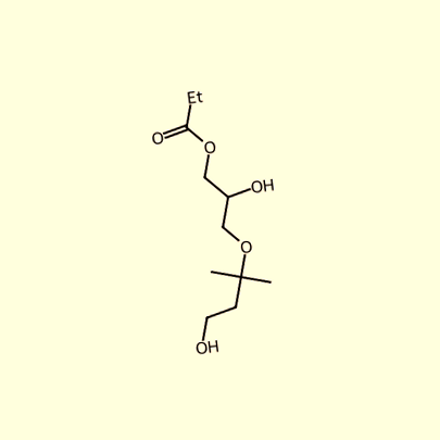 CCC(=O)OCC(O)COC(C)(C)CCO